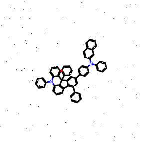 c1ccc(-c2cc(-c3ccc(N(c4ccccc4)c4ccc5ccccc5c4)cc3)cc3c2-c2cccc4c2C3(c2ccccc2)c2ccccc2N4c2ccccc2)cc1